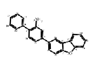 Nc1cc(-c2ccc3oc4ccccc4c3c2)ccc1-c1ccccc1